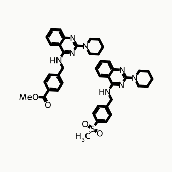 COC(=O)c1ccc(CNc2nc(N3CCCCC3)nc3ccccc23)cc1.CS(=O)(=O)c1ccc(CNc2nc(N3CCCCC3)nc3ccccc23)cc1